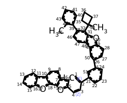 C/C=C(\C=C/c1cc2ccc3c4ccccc4oc3c2o1)c1cccc(-c2ccc3oc4c(C5(C)CCC5)c(-c5ccccc5C)ccc4c3c2)c1